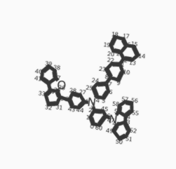 c1cc(N(c2ccc(-c3ccc(-c4cccc5ccccc45)cc3)cc2)c2ccc(-c3cccc4c3oc3ccccc34)cc2)cc(-n2c3ccccc3c3ccccc32)c1